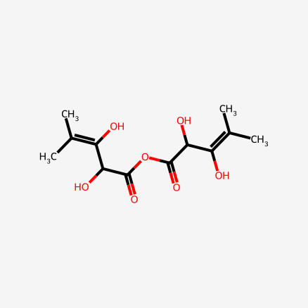 CC(C)=C(O)C(O)C(=O)OC(=O)C(O)C(O)=C(C)C